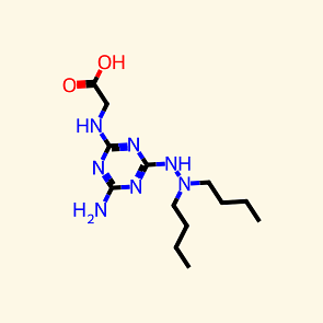 CCCCN(CCCC)Nc1nc(N)nc(NCC(=O)O)n1